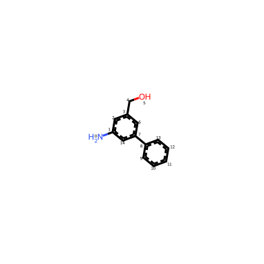 Nc1cc(CO)cc(-c2ccccc2)c1